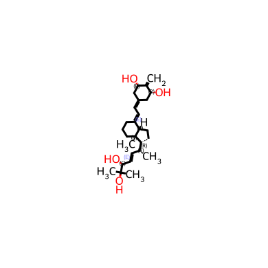 C=C1[C@H](O)CC(=C/C=C2\CCC[C@]3(C)[C@@H]([C@H](C)/C=C/[C@H](O)C(C)(C)O)CC[C@@H]23)C[C@H]1O